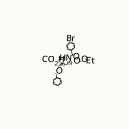 CCOCOC[C@H](C[C@H](COCc1ccccc1)C(=O)O)NC(=O)c1ccc(Br)cc1